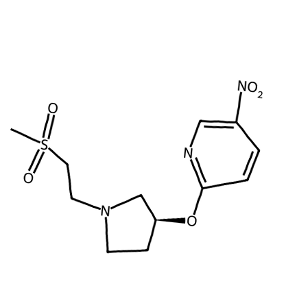 CS(=O)(=O)CCN1CC[C@H](Oc2ccc([N+](=O)[O-])cn2)C1